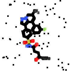 COC(=O)CCC(=O)NS(=O)(=O)c1ccc(-c2cnn3cc(C(F)(F)F)cc(-c4cccc(F)c4)c23)cc1